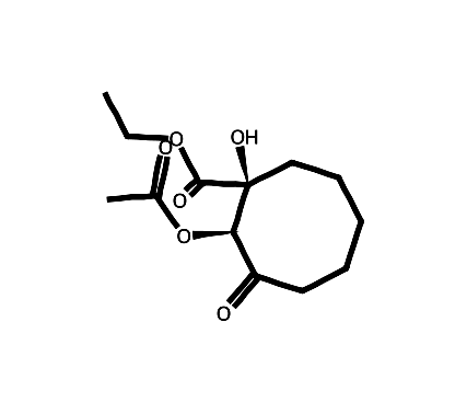 CCOC(=O)[C@]1(O)CCCCCC(=O)[C@H]1OC(C)=O